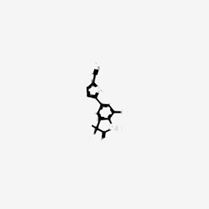 CC1(C)C(=O)Nc2c(F)cc(-c3ccc(C#N)[nH]3)cc21